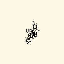 COc1ccc(OC)c(C(=O)NC(C)c2nc(-c3ccncn3)cc(=O)[nH]2)c1